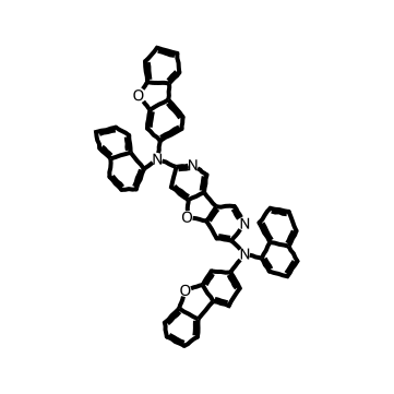 c1ccc2c(N(c3ccc4c(c3)oc3ccccc34)c3cc4oc5cc(N(c6ccc7c(c6)oc6ccccc67)c6cccc7ccccc67)ncc5c4cn3)cccc2c1